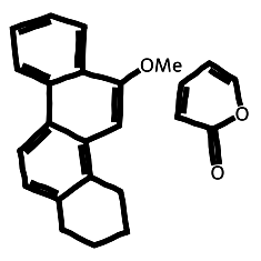 COc1cc2c3c(ccc2c2ccccc12)CCCC3.O=c1cccco1